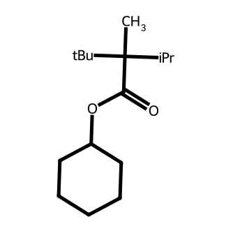 CC(C)C(C)(C(=O)OC1CCCCC1)C(C)(C)C